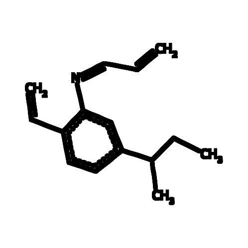 C=C/C=N\c1cc(C(C)CC)ccc1C=C